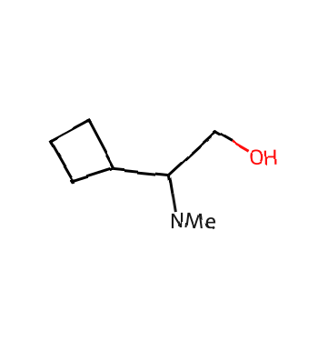 CNC(CO)C1CCC1